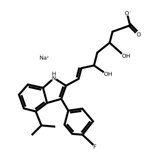 CC(C)c1cccc2[nH]c(C=CC(O)CC(O)CC(=O)[O-])c(-c3ccc(F)cc3)c12.[Na+]